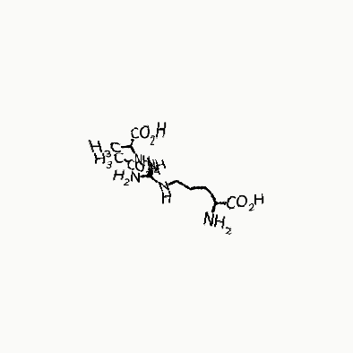 CC(=O)O.C[C@H](N)C(=O)O.N=C(N)NCCC[C@H](N)C(=O)O